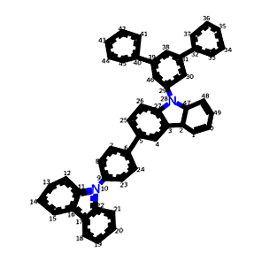 C1=CC2c3cc(-c4ccc(-n5c6ccccc6c6ccccc65)cc4)ccc3N(c3cc(-c4ccccc4)cc(-c4ccccc4)c3)C2C=C1